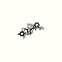 Cc1cc(F)c2c(c1)OC[C@H](NC(=O)c1nc3n(n1)C(C(C)C)CCC3)C(=O)N2